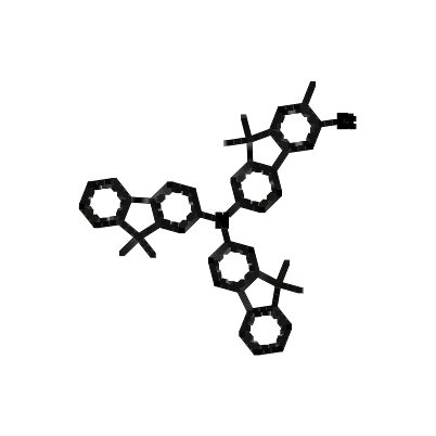 CCc1cc2c(cc1C)C(C)(C)c1cc(N(c3ccc4c(c3)C(C)(C)c3ccccc3-4)c3ccc4c(c3)C(C)(C)c3ccccc3-4)ccc1-2